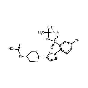 CC(C)(C)NS(=O)(=O)c1cc(O)ccc1-c1cnc([C@H]2CC[C@H](NC(=O)O)CC2)s1